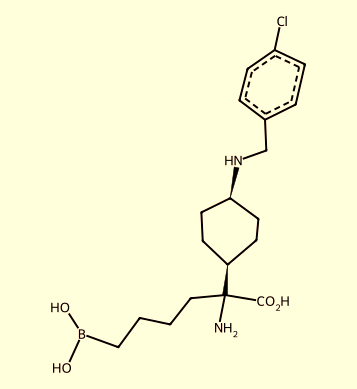 NC(CCCCB(O)O)(C(=O)O)[C@H]1CC[C@@H](NCc2ccc(Cl)cc2)CC1